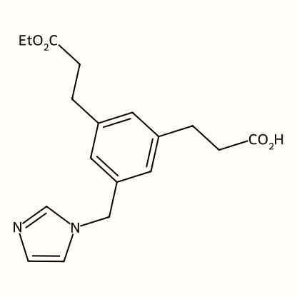 CCOC(=O)CCc1cc(CCC(=O)O)cc(Cn2ccnc2)c1